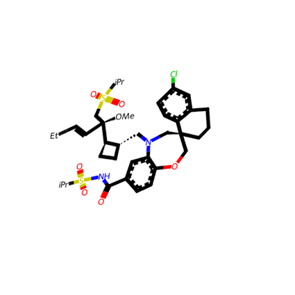 CC/C=C/[C@@](CS(=O)(=O)C(C)C)(OC)[C@@H]1CC[C@H]1CN1C[C@@]2(CCCc3cc(Cl)ccc32)COc2ccc(C(=O)NS(=O)(=O)C(C)C)cc21